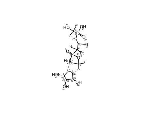 B[C@@H]1O[C@H](CC(C)(CC)OP(B)(=O)C(C)(CC)C(CC)OP(=O)(O)C(C)(C)O)[C@@H](O)[C@H]1O